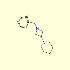 c1ccc(CN2CC(N3CCCCC3)C2)cc1